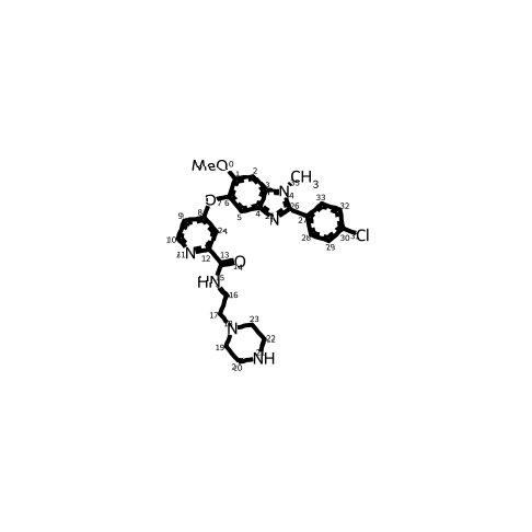 COc1cc2c(cc1Oc1ccnc(C(=O)NCCN3CCNCC3)c1)nc(-c1ccc(Cl)cc1)n2C